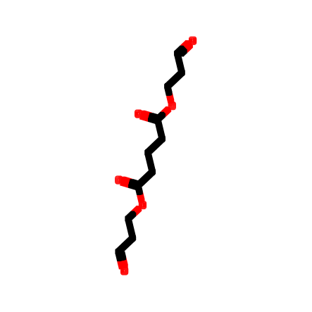 O=CCCOC(=O)CCCC(=O)OCCC=O